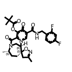 CC1=NO[C@@]2(CC[C@H](C)N3C[C@H]2n2cc(C(=O)NCc4ccc(F)cc4F)c(=O)c(OC(=O)C(C)(C)C)c2C3=O)C1